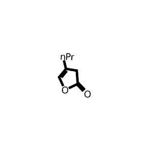 CCCC1=COC(=O)C1